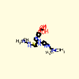 CN(C)CCCNCc1ccc(-c2nc(-c3ccc(CNCCCN(C)C)s3)c3ccn(-c4ccccc4)c3n2)cc1.O=C(O)C(=O)O